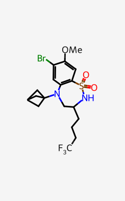 COc1cc2c(cc1Br)N(C13CC(C1)C3)CC(CCCC(F)(F)F)NS2(=O)=O